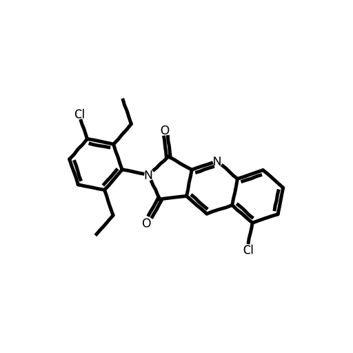 CCc1ccc(Cl)c(CC)c1N1C(=O)c2cc3c(Cl)cccc3nc2C1=O